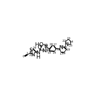 C#Cc1nc(NC(=O)N[C@@H](CO)c2ccc(-c3cccc(N4CCCC4)n3)cc2)cs1